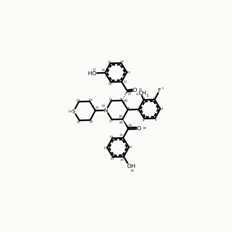 Cc1c(F)cccc1C1[C@@H](C(=O)c2cccc(O)c2)CN(C2CCSCC2)C[C@@H]1C(=O)c1cccc(O)c1